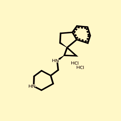 Cl.Cl.c1ccc2c(c1)CC[C@]21C[C@H]1NCC1CCNCC1